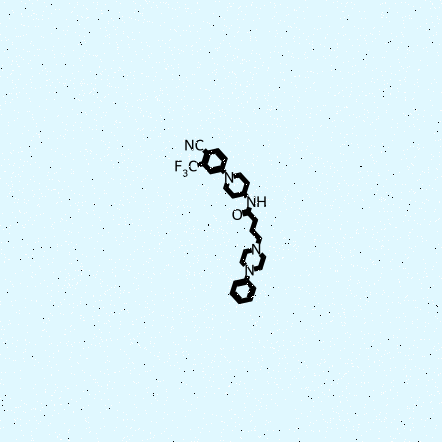 N#Cc1ccc(N2CCC(NC(=O)CCCN3CCN(c4ccccc4)CC3)CC2)cc1C(F)(F)F